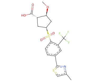 CO[C@H]1C[C@@H](S(=O)(=O)c2ccc(-c3nc(C)cs3)cc2C(F)(F)F)C[C@@H]1C(=O)O